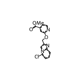 COC(=O)c1ccnc(OCc2cn3c(Cl)cccc3n2)c1